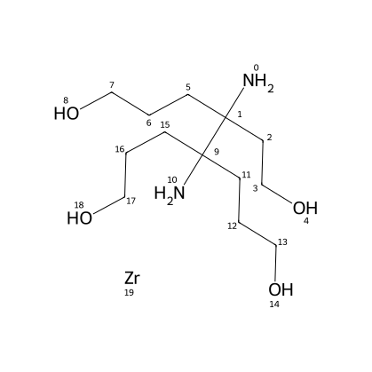 NC(CCO)(CCCO)C(N)(CCCO)CCCO.[Zr]